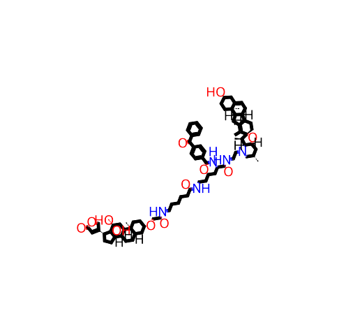 CC1=C2C[C@H]3[C@@H](CC=C4C[C@@H](O)CC[C@@]43C)[C@@H]2CC[C@]12O[C@@H]1C[C@H](C)CN(CCNC(=O)C(CCCCNC(=O)CCCCCNC(=O)CO[C@H]3CC[C@@]4(C)[C@H](CC[C@@H]5[C@@H]4C[C@@H](O)C4[C@@H](C6=CC(=O)OC6)CC[C@@]45O)C3)NC(=O)c3ccc(C(=O)c4ccccc4)cc3)[C@H]1[C@H]2C